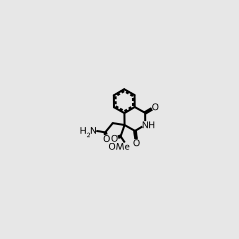 COC(=O)C1(CC(N)=O)C(=O)NC(=O)c2ccccc21